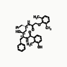 Cc1cccc(C)c1OCC(=O)N[C@@H](CC(C)C)C[C@H](O)[C@H](Cc1ccccc1)NC(=O)c1cccc(O)c1C